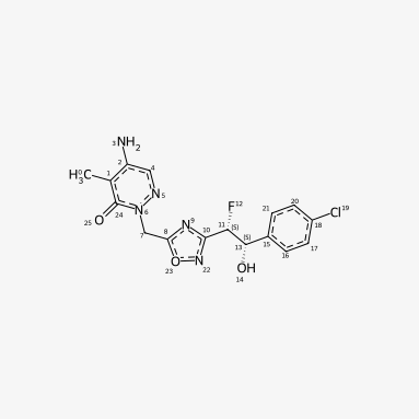 Cc1c(N)cnn(Cc2nc([C@H](F)[C@@H](O)c3ccc(Cl)cc3)no2)c1=O